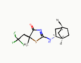 CC1(CC(F)(F)F)SC(N[C@@H]2C[C@@H]3CC[C@@H]2C3)=NC1=O